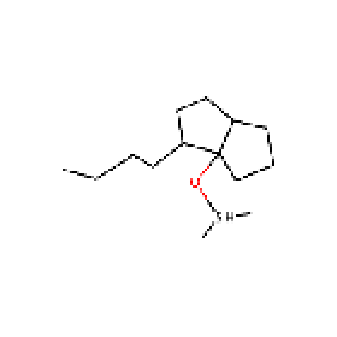 CCCCC1CCC2CCCC12O[SiH](C)C